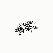 C=CC(=O)N[C@H]1COC[C@H]1Nc1ncc(C(C)Cc2c(Cl)c(OC)cc(OC)c2Cl)cn1